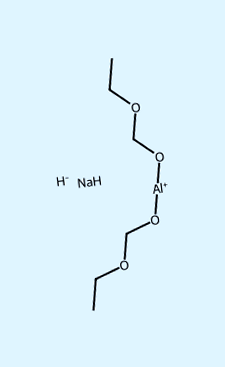 CCOC[O][Al+][O]COCC.[H-].[NaH]